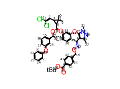 CC1(C)C(C=C(Cl)Cl)C1C(=O)OC(C#N)c1cccc(Oc2ccccc2)c1.Cc1nn(C)c(Oc2ccccc2)c1/C=N/OCc1ccc(C(=O)OC(C)(C)C)cc1